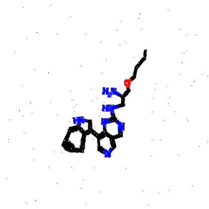 CCCCOC[C@H](N)CNc1ncc2cncc(-c3c[nH]c4ccccc34)c2n1